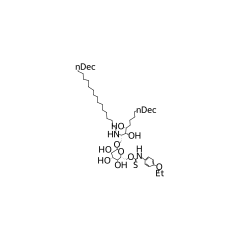 CCCCCCCCCCCCCCCCCCCCCCCCCCN[C@@H](CO[C@H]1O[C@H](COC(=S)Nc2ccc(OCC)cc2)[C@H](O)[C@H](O)[C@H]1O)[C@H](O)[C@H](O)CCCCCCCCCCCCCC